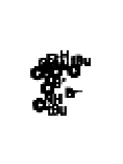 CCNS(=O)(=O)c1ccccc1-c1c2ccc(Nc3ccccc3C(C)(C)C)cc2[o+]c2cc(Nc3ccccc3C(C)(C)C)ccc12.[Br-]